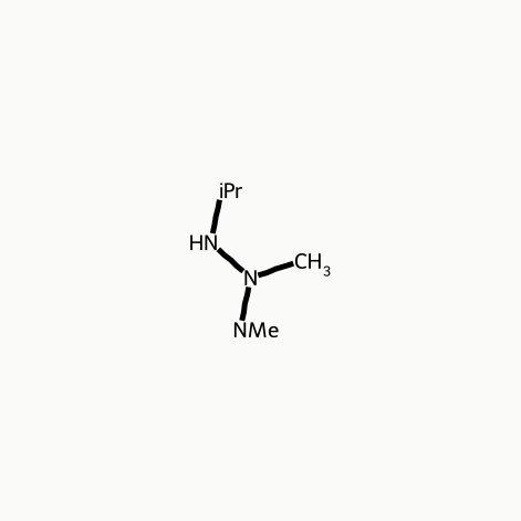 CNN(C)NC(C)C